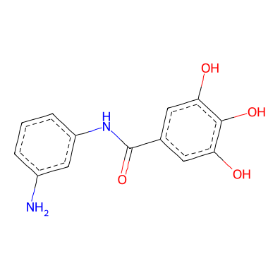 Nc1cccc(NC(=O)c2cc(O)c(O)c(O)c2)c1